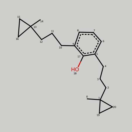 CC1(CCCc2cccc(CCCC3(C)CC3)c2O)CC1